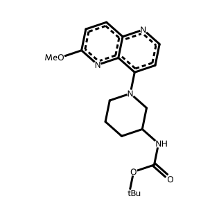 COc1ccc2nccc(N3CCCC(NC(=O)OC(C)(C)C)C3)c2n1